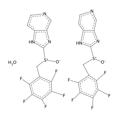 O.[O-][S+](Cc1c(F)c(F)c(F)c(F)c1F)c1nc2cnccc2[nH]1.[O-][S+](Cc1c(F)c(F)c(F)c(F)c1F)c1nc2cnccc2[nH]1